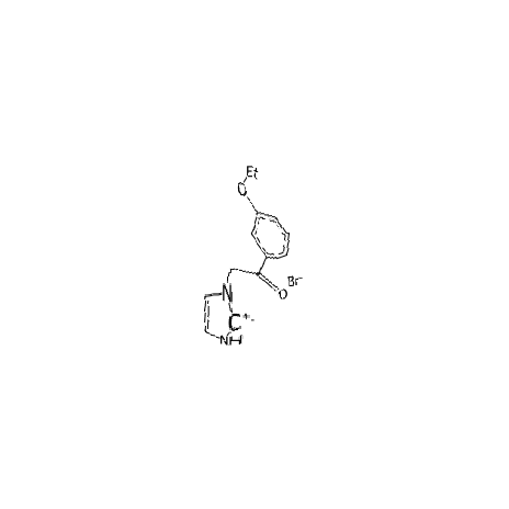 CCOc1cccc(C(=O)CN2[C+]NC=C2)c1.[Br-]